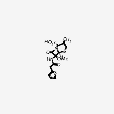 C=C1CS[C@@H]2N(C(=O)C2(NC(=O)Cc2cccs2)OC)C1C(=O)O